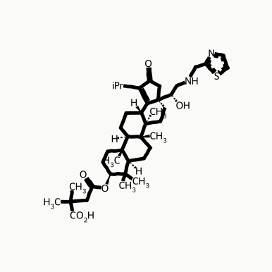 CC(C)C1=C2[C@H]3CC[C@@H]4[C@@]5(C)CC[C@H](OC(=O)CC(C)(C)C(=O)O)C(C)(C)[C@@H]5CC[C@@]4(C)[C@]3(C)CC[C@@]2([C@@H](O)CNCc2nccs2)CC1=O